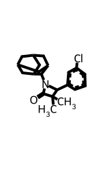 CC1(C)C(=O)N(C2C3CC4CC(C3)CC2C4)C1c1cccc(Cl)c1